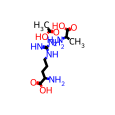 CC(=O)O.CC(N)C(=O)O.N=C(N)NCCCC(N)C(=O)O